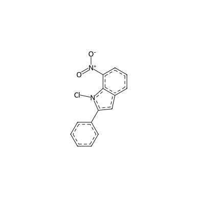 O=[N+]([O-])c1cccc2cc(-c3ccccc3)n(Cl)c12